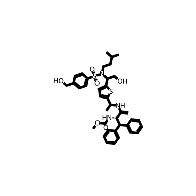 C=C(NC(C)c1ccc(C(CO)N(CCC(C)C)S(=O)(=O)c2ccc(CO)cc2)s1)[C@@H](NC(=O)OC)C(c1ccccc1)c1ccccc1